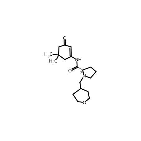 CC1(C)CC(=O)C=C(NC(=O)[C@@H]2CCCN2CC2CCOCC2)C1